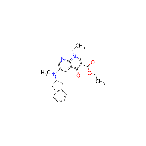 CCOC(=O)c1cn(CC)c2ncc(N(C)C3Cc4ccccc4C3)cc2c1=O